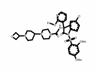 CCOc1ncccc1[C@]1(NC(=O)N2CCN(C3CCN(C4COC4)CC3)CC2)C(=O)N(S(=O)(=O)c2ccc(OC)cc2OC)c2ccc(Cl)cc21